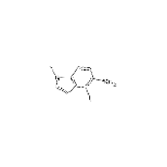 Cc1c(N)ccc2c1ccn2C